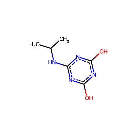 CC(C)Nc1nc(O)nc(O)n1